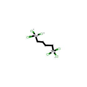 [Cl][Sn]([Cl])([Cl])[CH2]CC[CH2][Sn]([Cl])([Cl])[Cl]